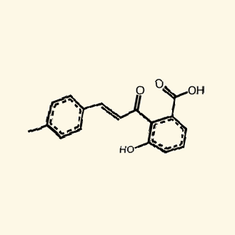 Cc1ccc(C=CC(=O)c2c(O)cccc2C(=O)O)cc1